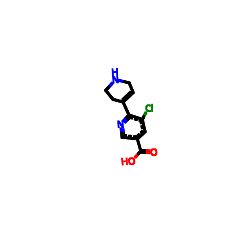 O=C(O)c1cnc(C2=CCNCC2)c(Cl)c1